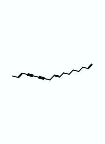 C=CCCCCCC=CCC#CC#CC=CC